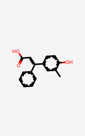 Cc1cc(C(=CC(=O)O)c2ccccc2)ccc1O